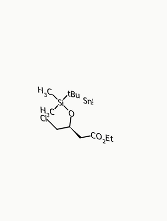 CCOC(=O)C[C@@H](CCl)O[Si](C)(C)C(C)(C)C.[Sn]